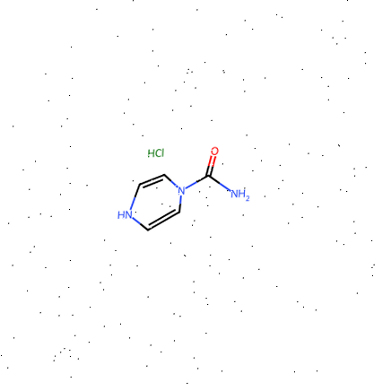 Cl.NC(=O)N1C=CNC=C1